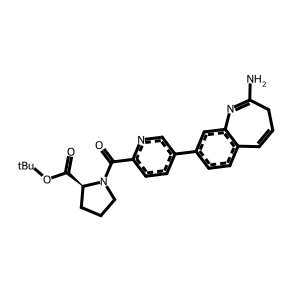 CC(C)(C)OC(=O)[C@@H]1CCCN1C(=O)c1ccc(-c2ccc3c(c2)N=C(N)CC=C3)cn1